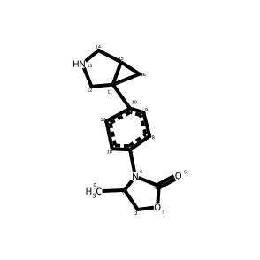 CC1COC(=O)N1c1ccc(C23CNCC2C3)cc1